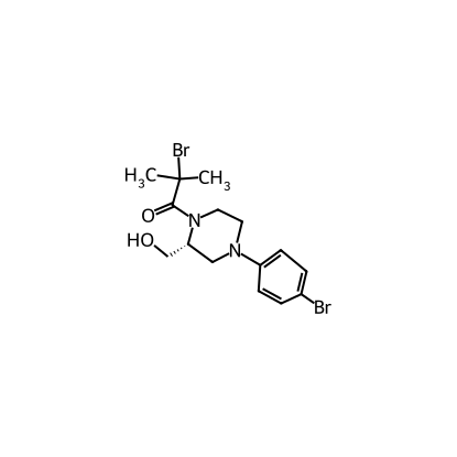 CC(C)(Br)C(=O)N1CCN(c2ccc(Br)cc2)C[C@@H]1CO